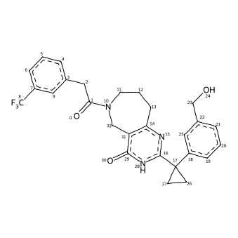 O=C(Cc1cccc(C(F)(F)F)c1)N1CCCc2nc(C3(c4cccc(CO)c4)CC3)[nH]c(=O)c2C1